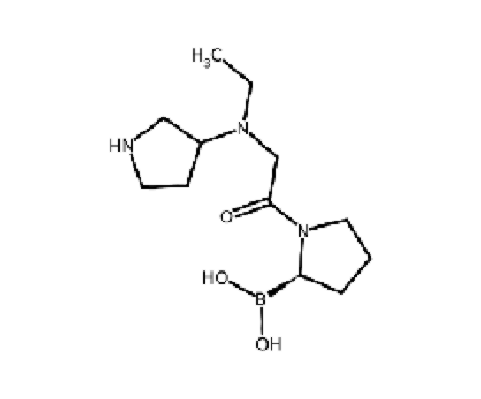 CCN(CC(=O)N1CCC[C@H]1B(O)O)C1CCNC1